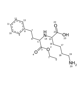 CCOC(=O)C(CCc1ccccc1)NC(CCCCN)C(=O)O